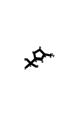 CC(C)(C)C1=CC(F)CC1